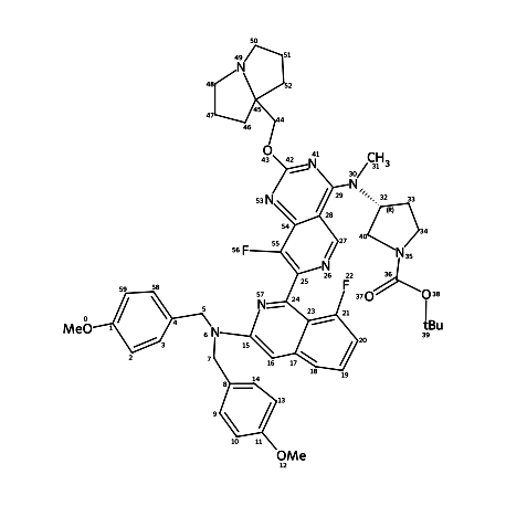 COc1ccc(CN(Cc2ccc(OC)cc2)c2cc3cccc(F)c3c(-c3ncc4c(N(C)[C@@H]5CCN(C(=O)OC(C)(C)C)C5)nc(OCC56CCCN5CCC6)nc4c3F)n2)cc1